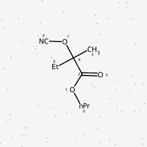 CCCOC(=O)C(C)(CC)OC#N